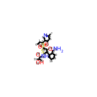 C=CC(c1ccc(C)nc1)S(=O)(=O)c1cc(-c2ccccc2C(N)=O)c(NC(=O)C(C)(C)O)s1